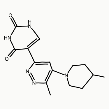 Cc1nnc(-c2c[nH]c(=O)[nH]c2=O)cc1N1CCC(C)CC1